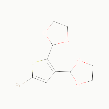 Brc1cc(C2OCCO2)c(C2OCCO2)s1